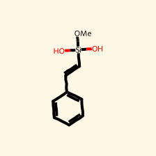 CO[Si](O)(O)/C=C/c1ccccc1